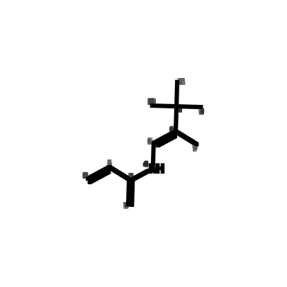 C=CC(=C)N/C=C(\C)C(C)(C)C